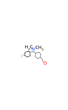 CN(C)C(c1ccc(F)cc1)C1CCC(CC=O)CC1